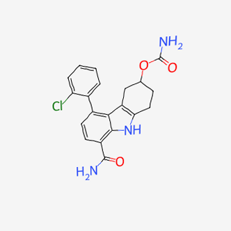 NC(=O)OC1CCc2[nH]c3c(C(N)=O)ccc(-c4ccccc4Cl)c3c2C1